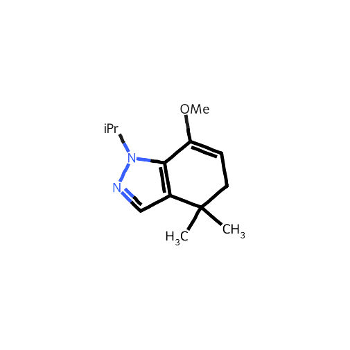 COC1=CCC(C)(C)c2cnn(C(C)C)c21